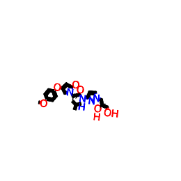 COc1ccc(OC2=CC(=O)N([C@@H](CC(C)C)C(=O)Nc3ccn(C[C@@H](O)CO)n3)C2)cc1